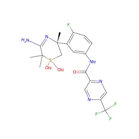 CC1(C)C(N)=N[C@](C)(c2cc(NC(=O)c3cnc(C(F)(F)F)cn3)ccc2F)CS1(O)O